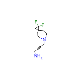 NCC#CCN1CCCC2(CC1)CC2(F)F